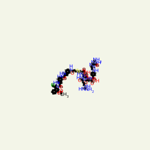 CC(=O)Oc1cc2c(c3ccccc13)C(CCl)CN2C(=O)c1cc2cc(NC(=O)c3cc4cc(NC(=O)CCSSC[C@H](NC(=O)[C@H](CC(=O)O)NC(=O)[C@H](CCCNC(=N)N)NC(=O)CC[C@H](NC(=O)c5ccc(NCc6cnc7nc(N)[nH]c(=O)c7n6)cc5)C(=O)O)C(=O)O)ccc4[nH]3)ccc2[nH]1